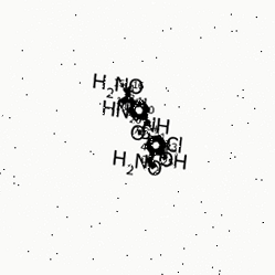 NC(=O)c1cc([S+]([O-])Nc2ccc3c(C(N)=O)c[nH]c3c2)cc(Cl)c1O